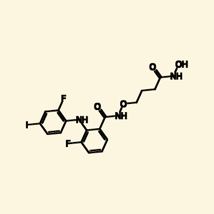 O=C(CCCONC(=O)c1cccc(F)c1Nc1ccc(I)cc1F)NO